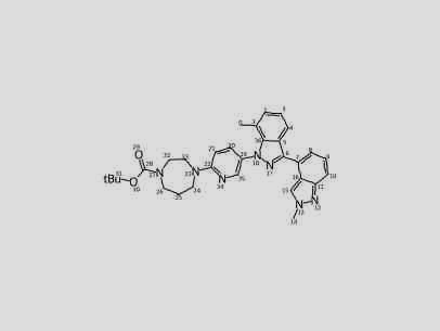 Cc1cccc2c(-c3cccc4nn(C)cc34)nn(-c3ccc(N4CCCN(C(=O)OC(C)(C)C)CC4)nc3)c12